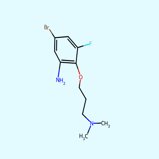 CN(C)CCCOc1c(N)cc(Br)cc1F